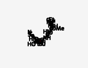 CC[C@@H]1C(=O)N(C)c2cnc(Nc3ccc(C(=O)NC4CCN(CCNCCOCC(=O)N[C@H](C(=O)N5C[C@H](O)C[C@H]5C(=O)NCc5ccc(-c6scnc6C)cc5)C(C)(C)C)CC4)cc3OC)nc2N1C1CCCC1